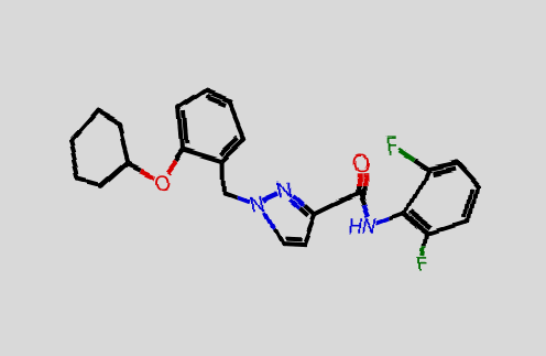 O=C(Nc1c(F)cccc1F)c1ccn(Cc2ccccc2OC2CCCCC2)n1